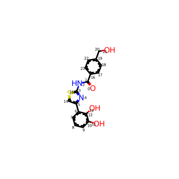 O=C(Nc1nc(-c2cccc(O)c2O)cs1)c1ccc(CO)cc1